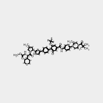 COC(=O)N[C@H](C(=O)N1C[C@@H](C)C[C@H]1c1nc(-c2ccc(-c3c(Cl)cc(C(=O)Nc4ccc(N5CCN(C(=O)C(C)(C)C)C[C@H]5C)nc4)cc3OC(F)(F)F)cc2)c[nH]1)C1CCOCC1